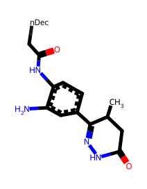 CCCCCCCCCCCC(=O)Nc1ccc(C2=NNC(=O)CC2C)cc1N